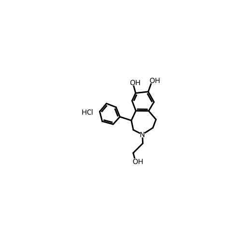 Cl.OCCN1CCc2cc(O)c(O)cc2C(c2ccccc2)C1